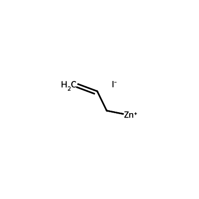 C=C[CH2][Zn+].[I-]